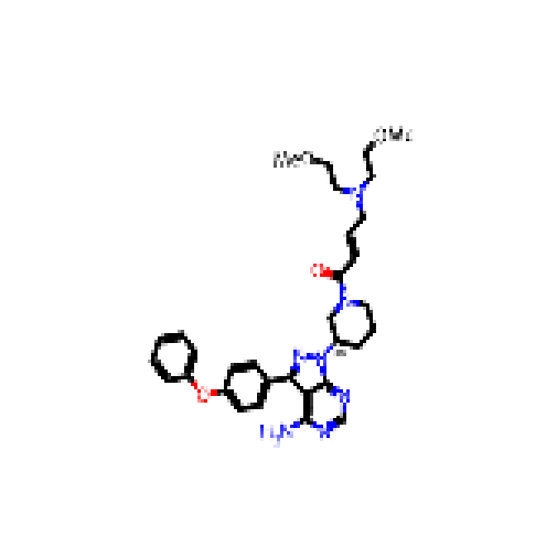 COCCN(CC=CC(=O)N1CCC[C@@H](n2nc(-c3ccc(Oc4ccccc4)cc3)c3c(N)ncnc32)C1)CCOC